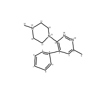 Cc1cc(-c2ccccc2)c(N2CCN(C)CC2)nn1